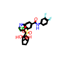 O=C(Nc1ccc(F)c(F)c1)c1ccc(Cl)c(S(=O)(=O)[C@H]2CC3CCC(C2)[C@]3(O)C(O)Cc2ccncc2)c1